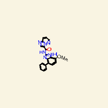 COc1ccc(-c2ccccc2)c2nc(NC(=O)c3cnc4cccnn34)[nH]c12